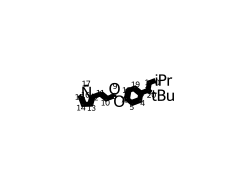 CC(C)CC(c1ccc(OC(=O)/C=C/c2cccn2C)cc1)C(C)(C)C